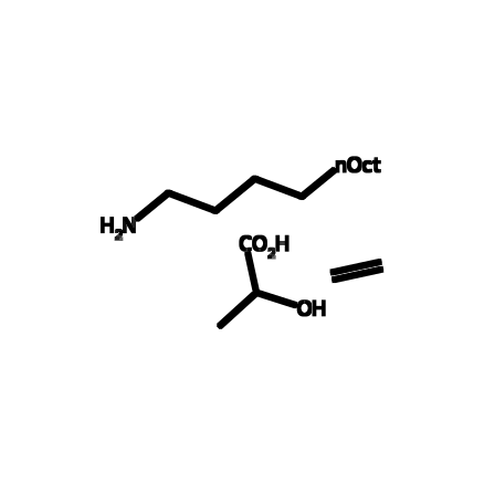 C=C.CC(O)C(=O)O.CCCCCCCCCCCCN